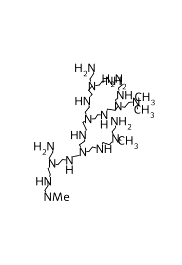 CNCCNCCN(CCN)CCNCCN(CCNCCN(C)CCN)CCNCCN(CCNCCN(CCN)CCN)CCNCCN(CCN(C)C)CNCCN